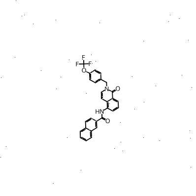 O=C(Nc1cccc2c(=O)n(Cc3ccc(OC(F)(F)F)cc3)ccc12)c1ccc2ccccc2c1